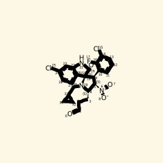 O=CCC[C@H]1[C@@H]([N+](=O)[O-])[C@H](c2cccc(Cl)c2F)[C@]2(C(=O)Nc3cc(Cl)ccc32)N1CC1CC1